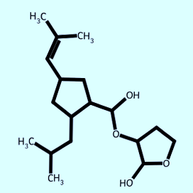 CC(C)=CC1CC(CC(C)C)C(C(O)OC2CCOC2O)C1